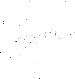 CN1C(=O)C=C[C@]2(C)[C@H]3CC[C@]4(C)[C@@H](CC(=O)Nc5nnc(C6CC6)s5)CC[C@H]4[C@@H]3CC[C@@H]12